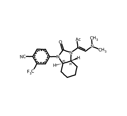 CC(=O)C(=CN(C)C)N1C(=O)N(c2ccc(C#N)c(C(F)(F)F)c2)[C@@H]2CCCC[C@H]21